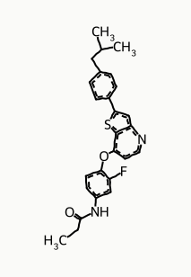 CCC(=O)Nc1ccc(Oc2ccnc3cc(-c4ccc(CC(C)C)cc4)sc23)c(F)c1